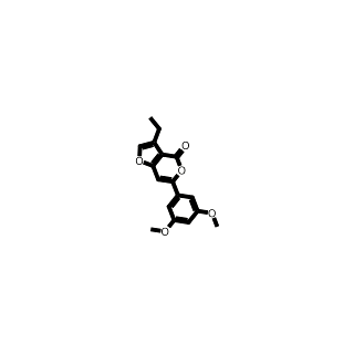 CCc1coc2cc(-c3cc(OC)cc(OC)c3)oc(=O)c12